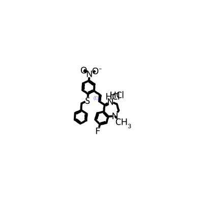 CN1CCN=C(/C=C/c2cc([N+](=O)[O-])ccc2SCc2ccccc2)c2ccc(F)cc21.Cl.Cl